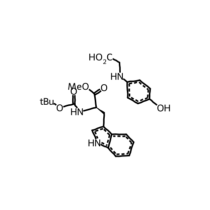 COC(=O)[C@@H](Cc1c[nH]c2ccccc12)NC(=O)OC(C)(C)C.O=C(O)CNc1ccc(O)cc1